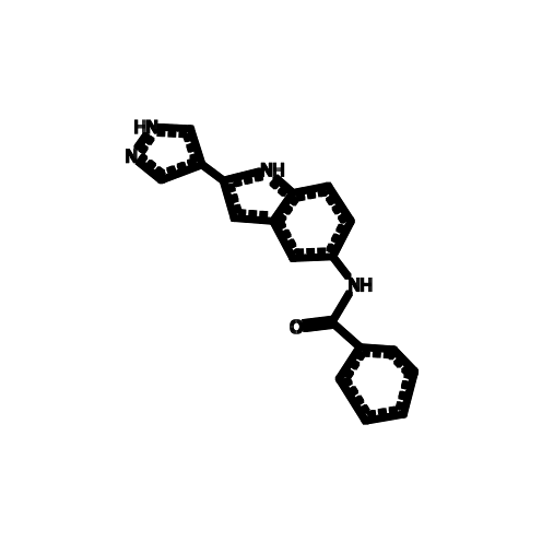 O=C(Nc1ccc2[nH]c(-c3cn[nH]c3)cc2c1)c1ccccc1